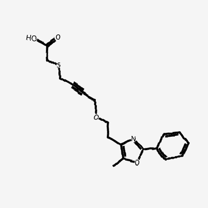 Cc1oc(-c2ccccc2)nc1CCOCC#CCSCC(=O)O